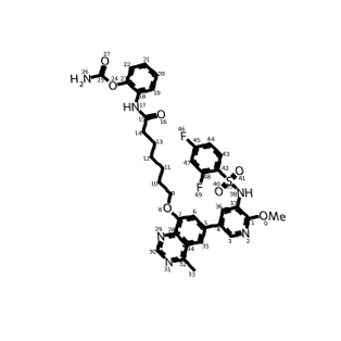 COc1ncc(-c2cc(OCCCCCCC(=O)Nc3ccccc3OC(N)=O)c3ncnc(C)c3c2)cc1NS(=O)(=O)c1ccc(F)cc1F